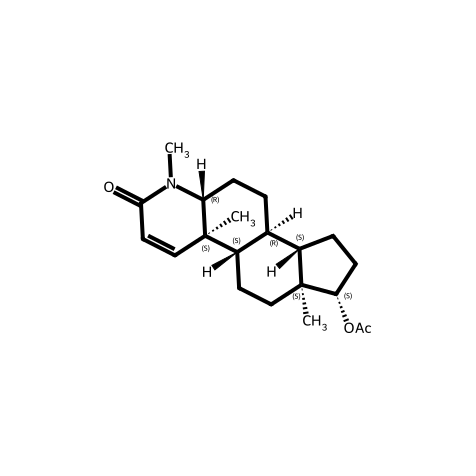 CC(=O)O[C@H]1CC[C@H]2[C@@H]3CC[C@H]4N(C)C(=O)C=C[C@]4(C)[C@H]3CC[C@]12C